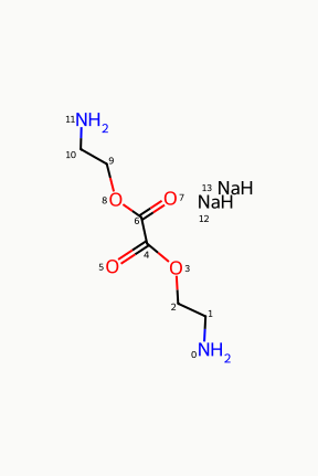 NCCOC(=O)C(=O)OCCN.[NaH].[NaH]